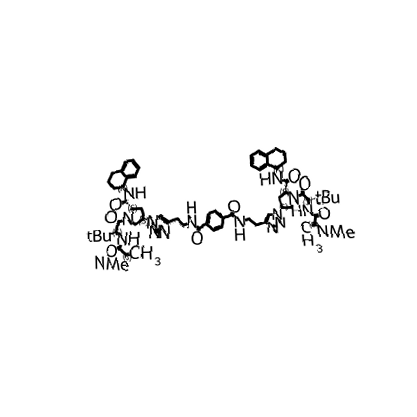 CN[C@@H](C)C(=O)N[C@H](C(=O)N1C[C@@H](n2cc(CCNC(=O)c3ccc(C(=O)NCCc4cn([C@H]5C[C@@H](C(=O)N[C@@H]6CCCc7ccccc76)N(C(=O)[C@@H](NC(=O)[C@H](C)NC)C(C)(C)C)C5)nn4)cc3)nn2)C[C@H]1C(=O)N[C@@H]1CCCc2ccccc21)C(C)(C)C